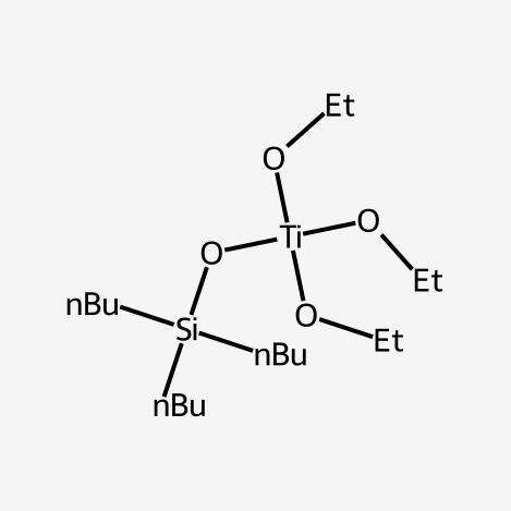 CCCC[Si](CCCC)(CCCC)[O][Ti]([O]CC)([O]CC)[O]CC